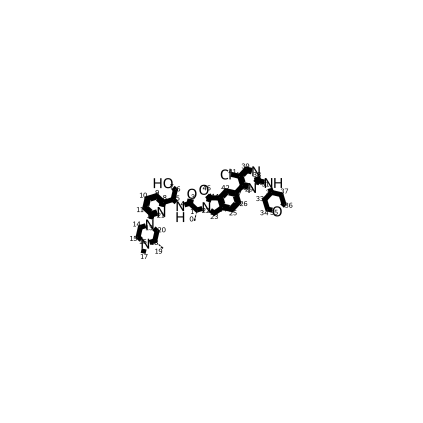 C[C@H](C(=O)NC(CO)c1cccc(N2CCN(C)[C@@H](C)C2)n1)N1Cc2ccc(-c3nc(NC4CCOCC4)ncc3Cl)cc2C1=O